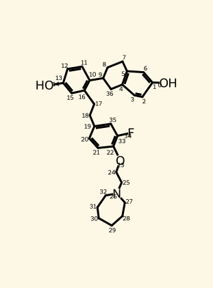 Oc1ccc2c(c1)CCC(c1ccc(O)cc1CCc1ccc(OCCN3CCCCCC3)c(F)c1)C2